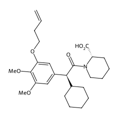 C=CCCOc1cc([C@@H](C(=O)N2CCCC[C@H]2C(=O)O)C2CCCCC2)cc(OC)c1OC